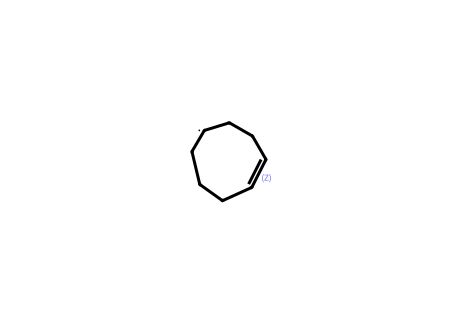 [CH]1CC/C=C\CCC1